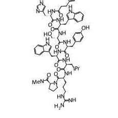 CNC(=O)[C@@H]1CCCN1C(=O)[C@H](CCCNC(=N)N)NC(=O)[C@H](CC(C)C)NC(=O)[C@@H](Cc1c[nH]c2ccccc12)NC(=O)[C@H](Cc1ccc(O)cc1)NC(=O)[C@H](CO)NC(=O)[C@H](Cc1c[nH]c2ccccc12)NC(=O)[C@H](Cc1c[nH]cn1)NC(=O)CCc1c[nH]cn1